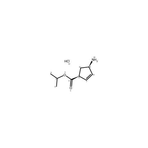 CC(C)OC(=O)[C@@H]1C=C[C@H](N)C1.Cl